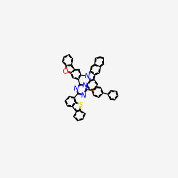 c1ccc(-c2ccc(-c3nc(-c4cc5oc6ccccc6c5cc4-n4c5ccccc5c5cc6ccccc6cc54)nc(-c4cccc5c4sc4ccccc45)n3)cc2)cc1